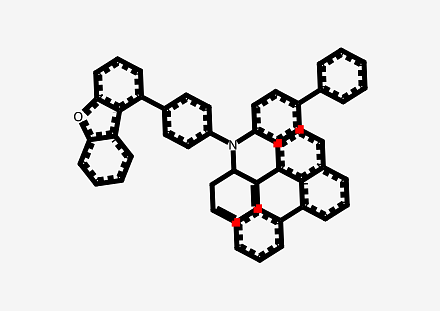 C1=CCC(N(c2ccc(-c3ccccc3)cc2)c2ccc(-c3cccc4oc5ccccc5c34)cc2)C(c2cccc3cccc(-c4ccccc4)c23)=C1